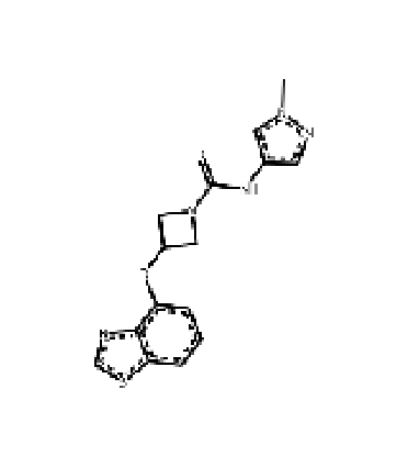 Cn1cc(NC(=O)N2CC(Oc3cccc4scnc34)C2)cn1